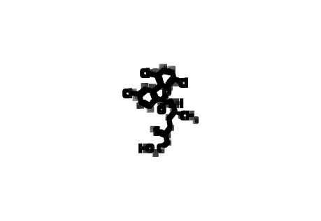 C[C@H](CCC(=S)CC(=O)O)NS(=O)(=O)c1ccc(Cl)cc1-c1cc(Cl)ccc1Cl